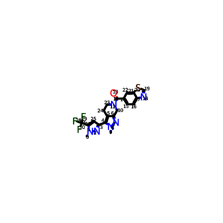 Cn1nc(-c2c3c(nn2C)CN(C(=O)c2ccc4ncsc4c2)CC3)cc1C(F)(F)F